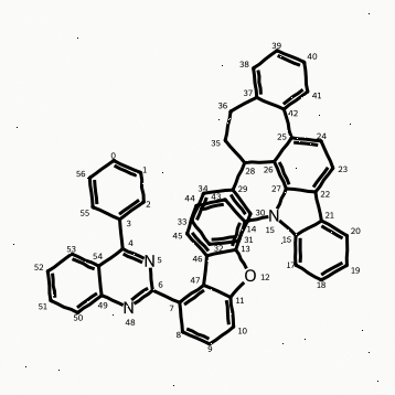 c1ccc(-c2nc(-c3cccc4oc5c(-n6c7ccccc7c7ccc8c(c76)C(c6ccccc6)CCc6ccccc6-8)cccc5c34)nc3ccccc23)cc1